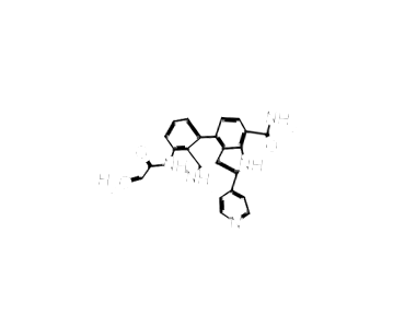 C=CC(=O)Nc1cccc(-c2ccc(C(N)=O)c3[nH]c(-c4ccncc4)cc23)c1CN